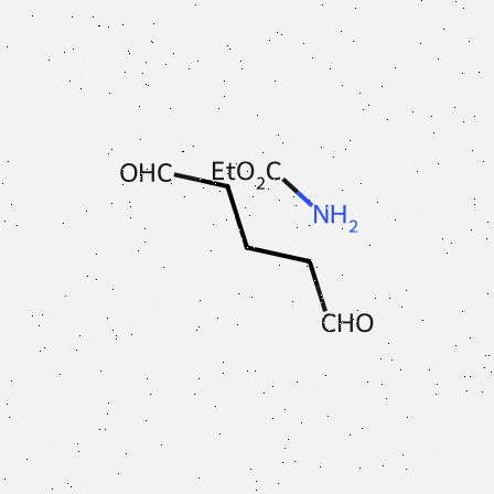 CCOC(N)=O.O=CCCCC=O